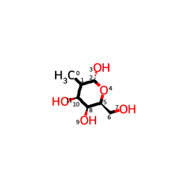 CC1[C@H](O)O[C@@H](CO)[C@@H](O)[C@H]1O